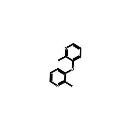 Cc1ncccc1Oc1cccnc1C